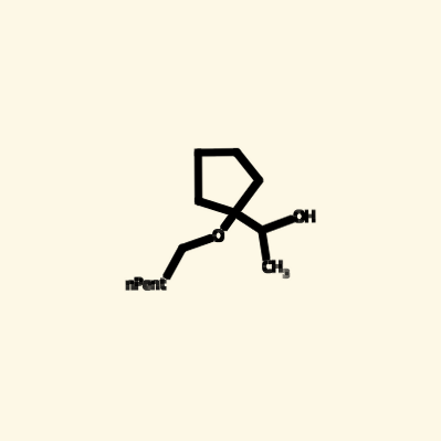 CCCCCCOC1(C(C)O)CCCC1